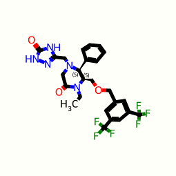 CCN1C(=O)CN(Cc2n[nH]c(=O)[nH]2)[C@@H](c2ccccc2)[C@H]1COCc1cc(C(F)(F)F)cc(C(F)(F)F)c1